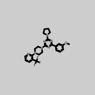 COc1cccc(-c2nc(N3CCCC3)nc(N3CCN(c4ncccc4C(F)(F)F)CC3)n2)c1